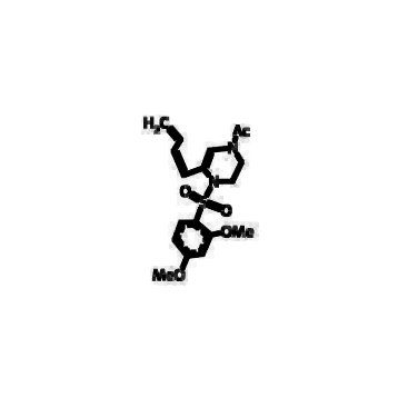 C=C/C=C\C1=CN(C(C)=O)CCN1S(=O)(=O)c1ccc(OC)cc1OC